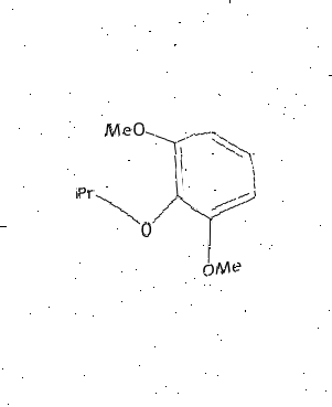 COc1c[c]cc(OC)c1OC(C)C